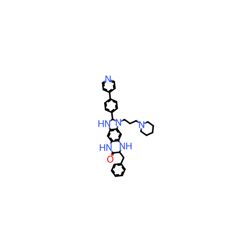 O=C1Nc2cc3c(cc2NC1Cc1ccccc1)N(CCCN1CCCCC1)C(c1ccc(-c2ccncc2)cc1)N3